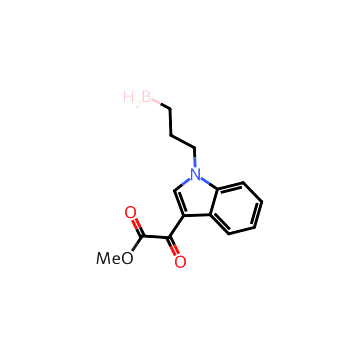 BCCCn1cc(C(=O)C(=O)OC)c2ccccc21